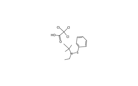 CCN(Sc1ccccc1)C(C)(C)C.O=C(O)C(Cl)(Cl)Cl